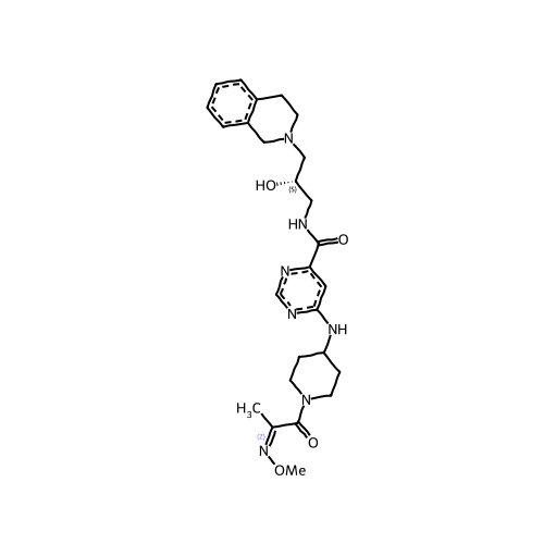 CO/N=C(/C)C(=O)N1CCC(Nc2cc(C(=O)NC[C@H](O)CN3CCc4ccccc4C3)ncn2)CC1